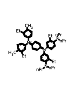 CCCN(CCC)c1ccc([N+](=C2C=CC(=[N+](c3ccc(C)c(CC)c3)c3ccc(C)c(CC)c3)C=C2)c2ccc(N(CCC)CCC)c(CC)c2)cc1CC